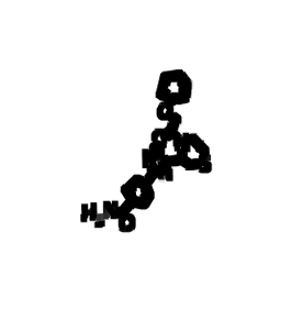 NC(=O)c1ccc(-c2noc(C3CSCCN3C(=O)COc3ccccc3)n2)cc1